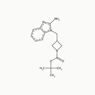 CC(C)(C)OC(=O)N1CC(Cn2c(N)nc3ccccc32)C1